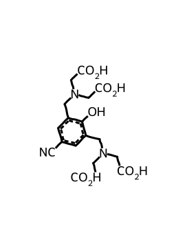 N#Cc1cc(CN(CC(=O)O)CC(=O)O)c(O)c(CN(CC(=O)O)CC(=O)O)c1